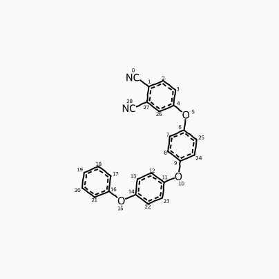 N#Cc1ccc(Oc2ccc(Oc3ccc(Oc4ccccc4)cc3)cc2)cc1C#N